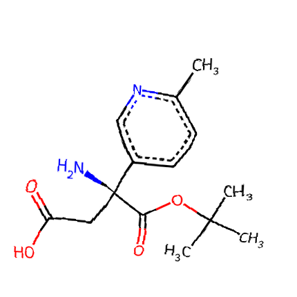 Cc1ccc([C@@](N)(CC(=O)O)C(=O)OC(C)(C)C)cn1